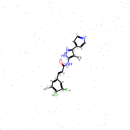 CCc1c(-c2ccncc2)n[nH]c1NC(=O)C=Cc1cc(F)c(Cl)c(F)c1